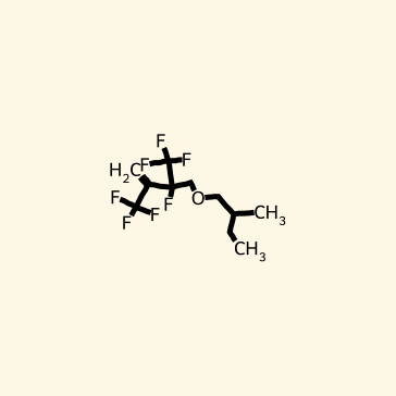 C=C(C(F)(F)F)C(F)(COCC(C)CC)C(F)(F)F